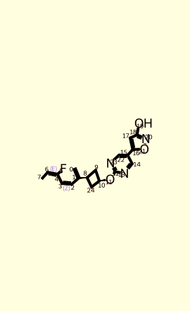 C=C(/C=C\C(F)=C/C)[C@H]1C[C@@H](Oc2ncc(-c3cc(O)no3)cn2)C1